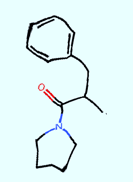 [CH2]C(Cc1ccccc1)C(=O)N1CCCC1